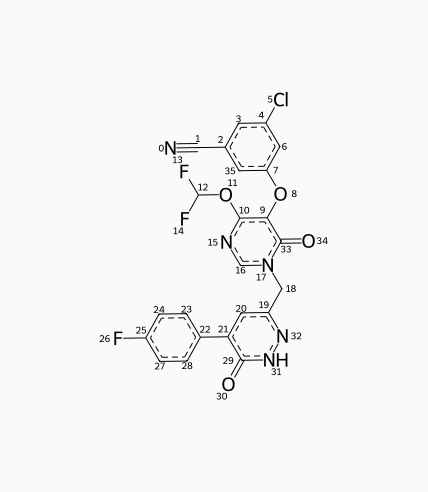 N#Cc1cc(Cl)cc(Oc2c(OC(F)F)ncn(Cc3cc(-c4ccc(F)cc4)c(=O)[nH]n3)c2=O)c1